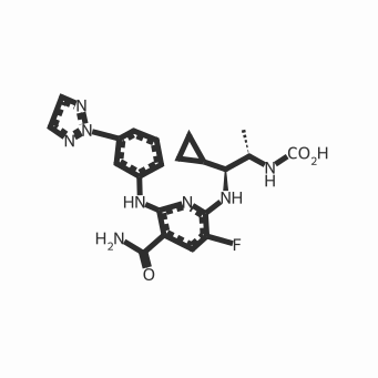 C[C@H](NC(=O)O)[C@@H](Nc1nc(Nc2cccc(-n3nccn3)c2)c(C(N)=O)cc1F)C1CC1